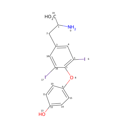 NC(Cc1cc(I)c(Oc2ccc(O)cc2)c(I)c1)C(=O)O